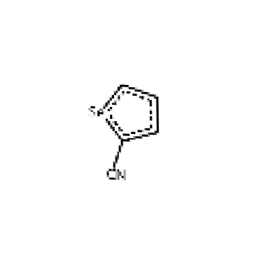 N#Cc1ccc[se]1